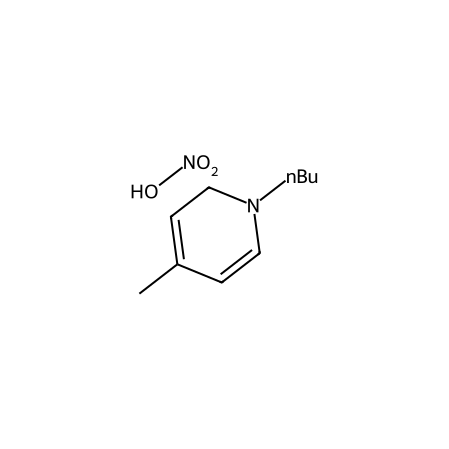 CCCCN1C=CC(C)=CC1.O=[N+]([O-])O